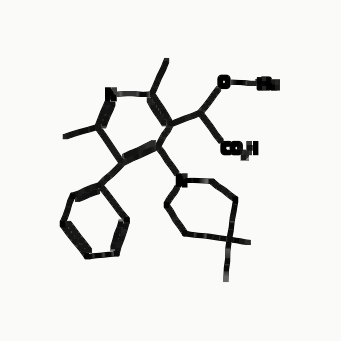 Cc1nc(C)c(C(OC(C)(C)C)C(=O)O)c(N2CCC(C)(C)CC2)c1-c1ccccc1